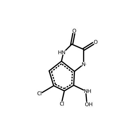 O=C1[N]c2c(cc(Cl)c(Cl)c2NO)NC1=O